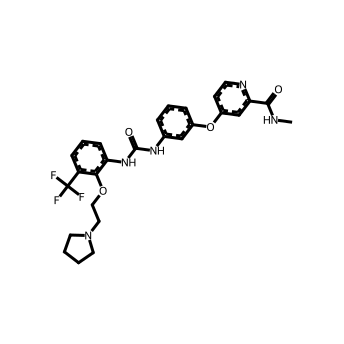 CNC(=O)c1cc(Oc2cccc(NC(=O)Nc3cccc(C(F)(F)F)c3OCCN3CCCC3)c2)ccn1